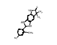 COc1cc(C#N)ccc1C1Nc2cc3c(cc2N1)C(C)(C)C(=O)N3